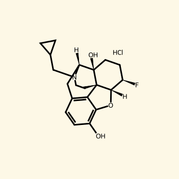 Cl.Oc1ccc2c3c1O[C@H]1[C@H](F)CC[C@@]4(O)[C@@H](C2)N(CC2CC2)CC[C@]314